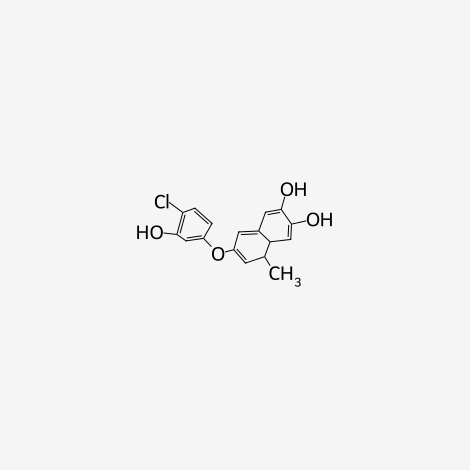 CC1C=C(Oc2ccc(Cl)c(O)c2)C=C2C=C(O)C(O)=CC21